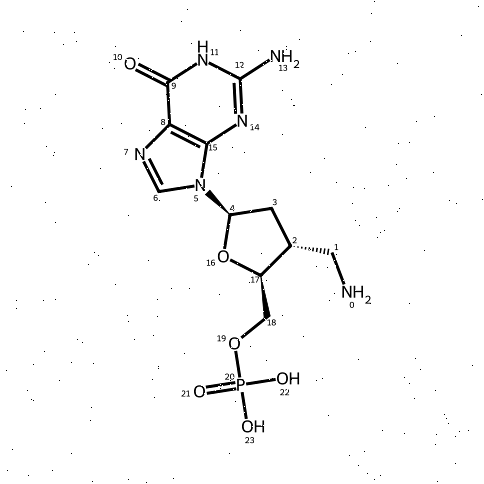 NC[C@H]1C[C@H](n2cnc3c(=O)[nH]c(N)nc32)O[C@@H]1COP(=O)(O)O